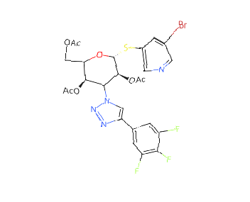 CC(=O)OCC1O[C@H](Sc2cncc(Br)c2)[C@@H](OC(C)=O)C(n2cc(-c3cc(F)c(F)c(F)c3)nn2)[C@H]1OC(C)=O